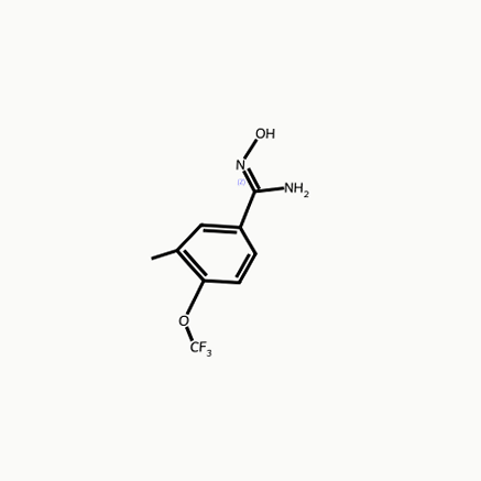 Cc1cc(/C(N)=N/O)ccc1OC(F)(F)F